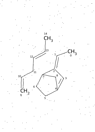 C/C=C1\C=C2CCC1C2.C=CC/C=C/C